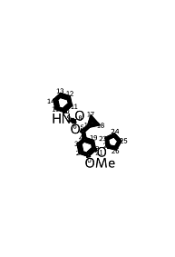 COc1ccc(C(OC(=O)Nc2ccccc2)C2CC2)cc1OC1CCCC1